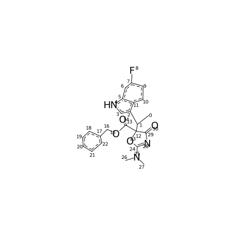 CC(c1c[nH]c2cc(F)ccc12)C1(C(=O)OCc2ccccc2)OC(N(C)C)=NC1=O